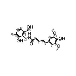 COc1cc(/C=C/C=C/C(=O)NCc2c(CO)cnc(C)c2O)cc(OC)c1O